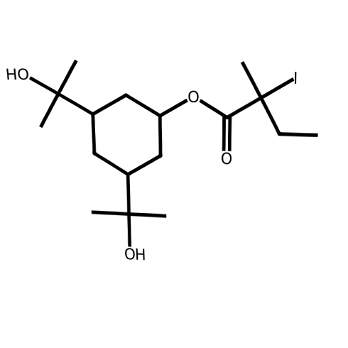 CCC(C)(I)C(=O)OC1CC(C(C)(C)O)CC(C(C)(C)O)C1